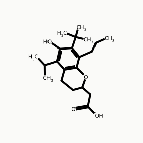 CCCc1c2c(c(C(C)C)c(O)c1C(C)(C)C)CCC(CC(=O)O)O2